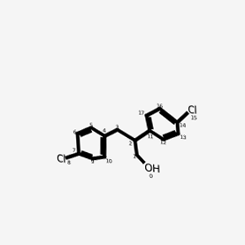 OCC(Cc1ccc(Cl)cc1)c1ccc(Cl)cc1